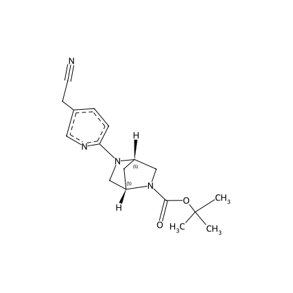 CC(C)(C)OC(=O)N1C[C@@H]2C[C@H]1CN2c1ccc(CC#N)cn1